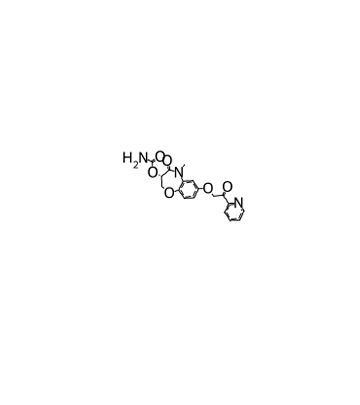 CN1C(=O)[C@@H](OC(N)=O)COc2ccc(OCC(=O)c3ccccn3)cc21